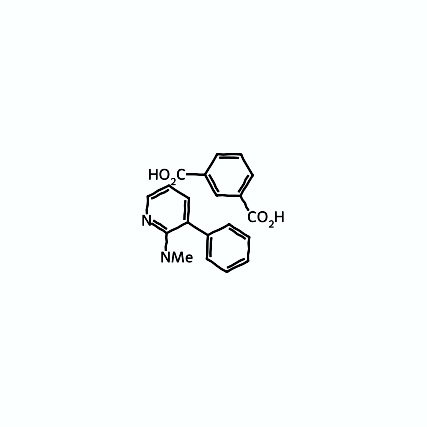 CNc1ncccc1-c1ccccc1.O=C(O)c1cccc(C(=O)O)c1